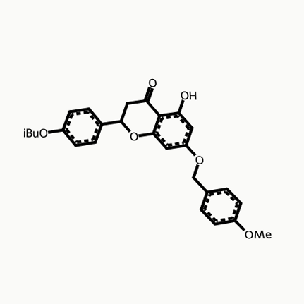 COc1ccc(COc2cc(O)c3c(c2)OC(c2ccc(OCC(C)C)cc2)CC3=O)cc1